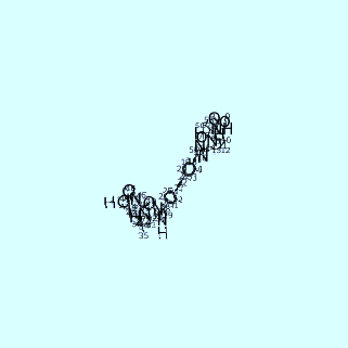 COC(=O)N[C@H](C(=O)N1[C@H]2C[C@@]2(C)C[C@H]1c1nc(-c2ccc(C#Cc3ccc(-c4c[nH]c([C@@H]5C[C@]6(C)C[C@@H]6N5C(=O)[C@H](C(C)C)N(C)C(=O)O)n4)cc3)cc2)c[nH]1)C(C)C